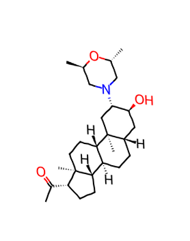 CC(=O)[C@H]1CC[C@H]2[C@@H]3CC[C@H]4C[C@H](O)[C@@H](N5C[C@@H](C)O[C@H](C)C5)C[C@]4(C)[C@H]3CC[C@]12C